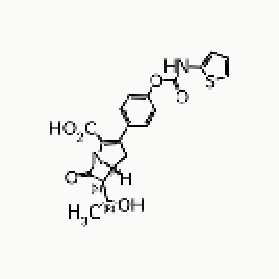 C[C@@H](O)[C@H]1C(=O)N2C(C(=O)O)=C(c3ccc(OC(=O)Nc4cccs4)cc3)C[C@H]12